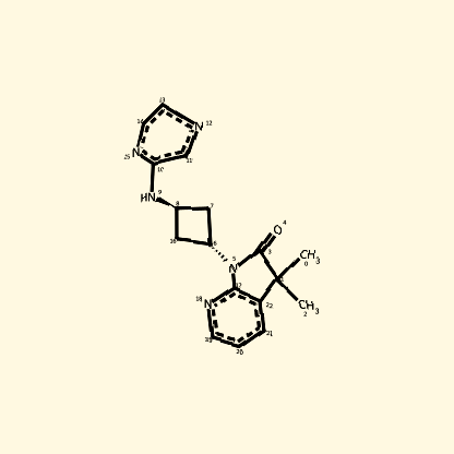 CC1(C)C(=O)N([C@H]2C[C@H](Nc3cnccn3)C2)c2ncccc21